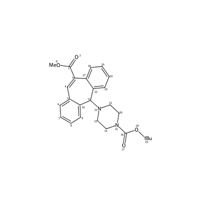 COC(=O)C1=Cc2ccccc2C(N2CCN(C(=O)OC(C)(C)C)CC2)c2ccccc21